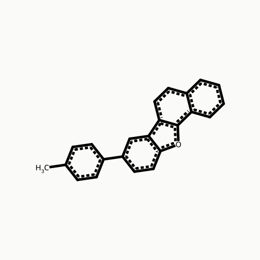 Cc1ccc(-c2ccc3oc4c5ccccc5ccc4c3c2)cc1